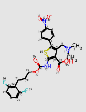 CN(C)Cc1c(-c2ccc([N+](=O)[O-])cc2)sc(NC(=O)OCCCc2c(F)cccc2F)c1C(=O)O